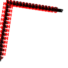 O=[Si](O)O.O=[Si](O)O.O=[Si](O)O.O=[Si](O)O.O=[Si](O)O.O=[Si](O)O.O=[Si](O)O.O=[Si](O)O.O=[Si](O)O.O=[Si](O)O.O=[Si](O)O.O=[Si](O)O.O=[Si](O)O.O=[Si](O)O.O=[Si](O)O.O=[Si](O)O.O=[Si](O)O.O=[Si](O)O.O=[Si](O)O.O=[Si](O)O.O=[Si](O)O.O=[Si](O)O.O=[Si](O)O.O=[Si](O)O.O=[Si](O)O.O=[Si](O)O.O=[Si](O)O.O=[Si]([O-])O.O=[Si]([O-])[O-].O=[Si]([O-])[O-].[K+].[K+].[K+].[K+].[K+]